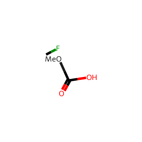 CF.COC(=O)O